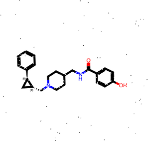 O=C(NCC1CCN(C[C@@H]2C[C@H]2c2ccccc2)CC1)c1ccc(O)cc1